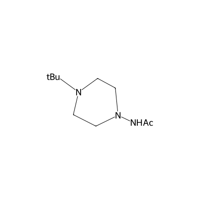 CC(=O)NN1CCN(C(C)(C)C)CC1